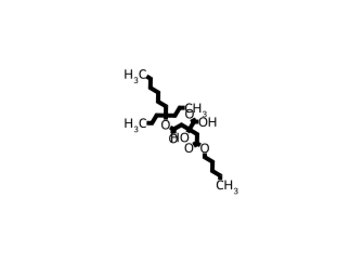 CCCCCCC(CCC)(CCC)OC(=O)CC(O)(CC(=O)OCCCCC)C(=O)O